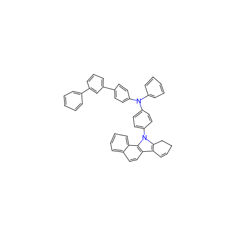 C1=Cc2c(n(-c3ccc(N(c4ccccc4)c4ccc(-c5cccc(-c6ccccc6)c5)cc4)cc3)c3c2ccc2ccccc23)CC1